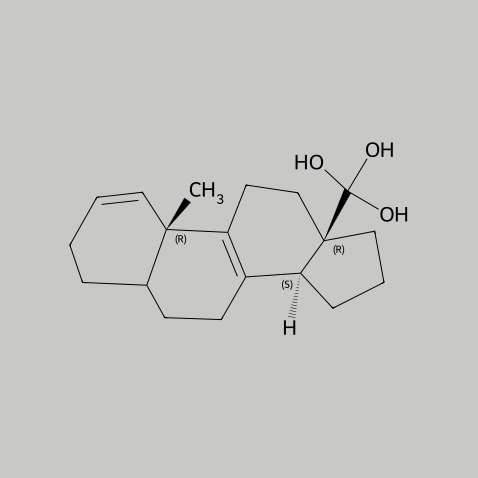 C[C@]12C=CCCC1CCC1=C2CC[C@]2(C(O)(O)O)CCC[C@@H]12